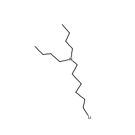 [Li][CH2]CCCCCN(CCCC)CCCC